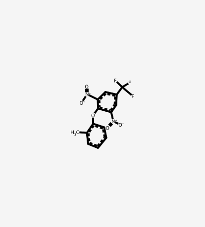 Cc1ccccc1Oc1c([N+](=O)[O-])cc(C(F)(F)F)cc1[N+](=O)[O-]